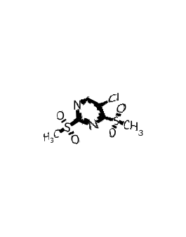 CS(=O)(=O)c1n[c]c(Cl)c(S(C)(=O)=O)n1